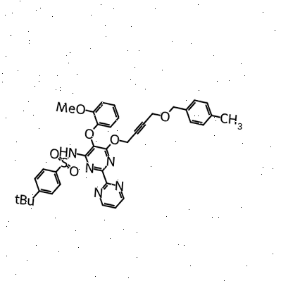 COc1ccccc1Oc1c(NS(=O)(=O)c2ccc(C(C)(C)C)cc2)nc(-c2ncccn2)nc1OCC#CCOCc1ccc(C)cc1